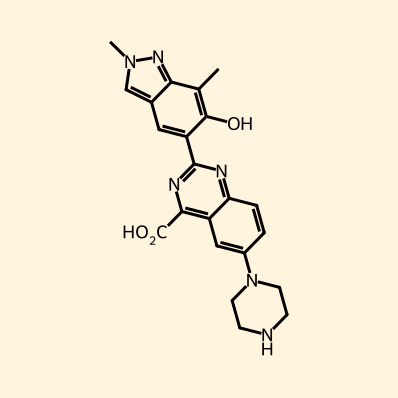 Cc1c(O)c(-c2nc(C(=O)O)c3cc(N4CCNCC4)ccc3n2)cc2cn(C)nc12